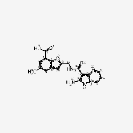 Cc1cc(C(=O)O)c2oc(CNC(=O)c3c(N)nn4cccnc34)cc2c1